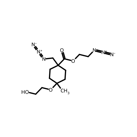 CC1(OCCO)CCC(CN=[N+]=[N-])(C(=O)OCCN=[N+]=[N-])CC1